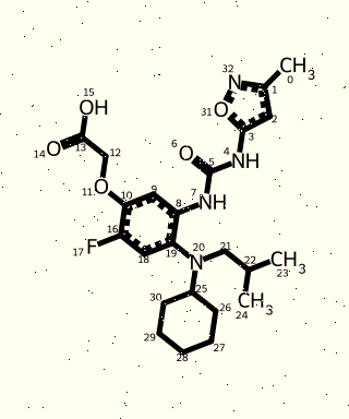 Cc1cc(NC(=O)Nc2cc(OCC(=O)O)c(F)cc2N(CC(C)C)C2CCCCC2)on1